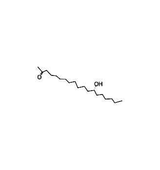 CCCCCC[C@@H](O)CCCCCCCCCCC(C)=O